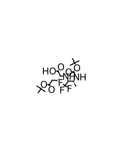 C[C@H](NC(=O)OC(C)(C)C)[C@H](N[C@H](CCC(=O)OC(C)(C)C)C(=O)O)C(F)(F)F